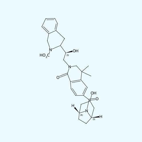 CC1(C)CN(C[C@H](O)C2Cc3ccccc3CN2C(=O)O)C(=O)c2ccc(C(=O)N3[C@@H]4CC[C@H]3CC(O)C4)cc21